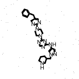 c1ccc(Cc2cnc(N3CCN(c4ncnc(Nc5cnn(CC6CCCNC6)c5)n4)CC3)nc2)cc1